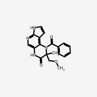 COCC1(C)C(=O)Nc2cnc3[nH]ccc3c2N1C(=O)c1ccccc1